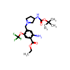 CCOC(=O)c1cc(OC(F)(F)F)c(CN2CC[C@@H](NC(=O)OC(C)(C)C)C2)cc1N